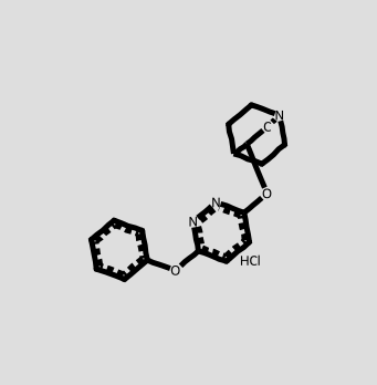 Cl.c1ccc(Oc2ccc(OC3CN4CCC3CC4)nn2)cc1